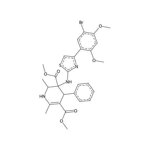 COC(=O)C1=C(C)NC(C)C(Nc2nc(-c3cc(Br)c(OC)cc3OC)cs2)(C(=O)OC)C1c1ccccc1